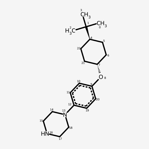 CC(C)(C)[C@H]1CC[C@H](Oc2ccc(N3CCNCC3)cc2)CC1